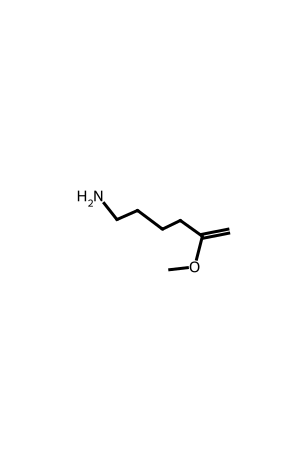 C=C(CCCCN)OC